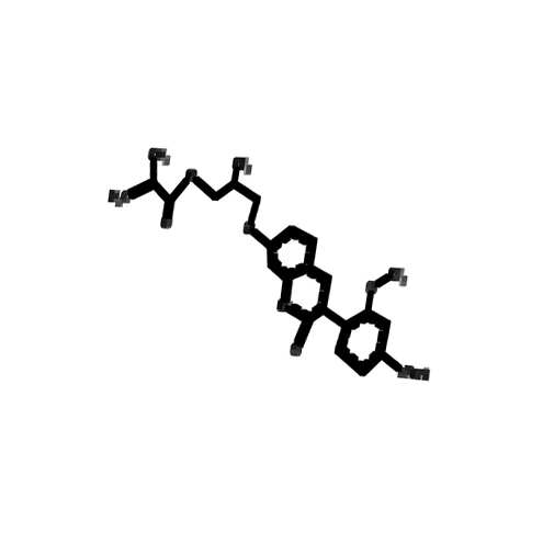 C=C(C)C(=O)OCC(COc1ccc2cc(-c3ccc(CCCCC)cc3OC(F)(F)F)c(=O)oc2c1)C(F)(F)F